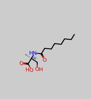 CCCCCCCC(=O)N[C@@](C)(CO)C(=O)O